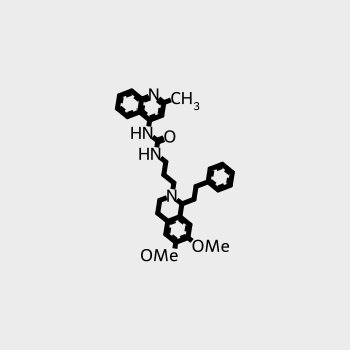 COc1cc2c(cc1OC)C(CCc1ccccc1)N(CCCNC(=O)Nc1cc(C)nc3ccccc13)CC2